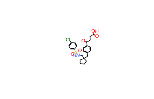 O=C(O)CCC(=O)c1ccc(CC2(CNS(=O)(=O)c3ccc(Cl)cc3)CCCC2)cc1